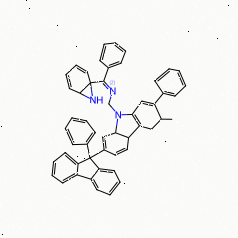 CC1CC2=C(C=C1c1ccccc1)N(C/N=C(/c1ccccc1)C13C=CC=CC1N3)C1C=C(C3(c4ccccc4)c4ccccc4-c4ccccc43)C=CC21